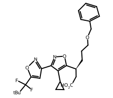 CC(C)(C)C(F)(F)c1cc(-c2noc([C@@H](CCCOCc3ccccc3)CC(=O)O)c2C2CC2)no1